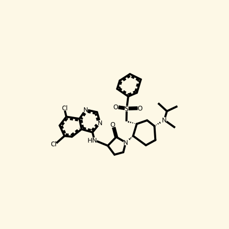 CC(C)N(C)[C@@H]1CC[C@H](N2CCC(Nc3ncnc4c(Cl)cc(Cl)cc34)C2=O)[C@H](CS(=O)(=O)c2ccccc2)C1